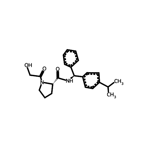 CC(C)c1ccc([C@@H](NC(=O)[C@@H]2CCCN2C(=O)CO)c2ccccc2)cc1